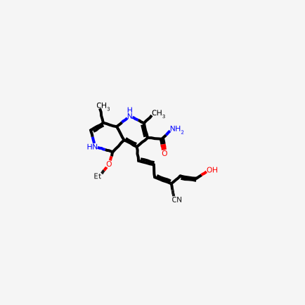 CCOC1NC=C(C)C2NC(C)=C(C(N)=O)C(/C=C/C=C(C#N)\C=C\O)=C12